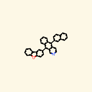 c1ccc2cc(-c3c4ccccc4c(-c4ccc5oc6ccccc6c5c4)c4cnccc34)ccc2c1